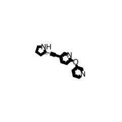 C(#C[C@@H]1CCCN1)c1ccc(Oc2cccnc2)nc1